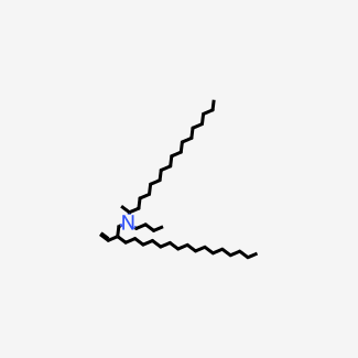 C=CC(CCCCCCCCCCCCCCCC)CN(CCCC)C(C)CCCCCCCCCCCCCCCC